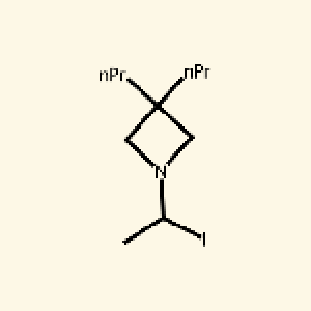 CCCC1(CCC)CN(C(C)I)C1